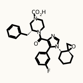 O=C(O)N1CCN(C(=O)c2ncn([C@H]3CCCC[C@]34CO4)c2-c2cccc(F)c2)[C@H](Cc2ccccc2)C1